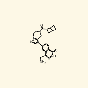 NCc1n[nH]c(=O)c2ccc(-c3cnn4c3CN(C(=O)C3CC5CCC53)CC4)cc12